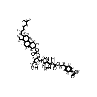 CC(C)CCC[C@@H](C)[C@H]1CCC2C3CC=C4CC(OC(=O)O[C@@H]5C[C@@H](CO)O[C@H]5n5cnc6c(NC(=O)OCCc7ccc([N+](=O)[O-])cc7)ncnc65)CC[C@]4(C)C3CC[C@@]21C